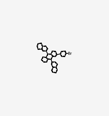 Brc1ccc(-c2ccc3c(-c4ccc5ccccc5c4)c4ccccc4c(-c4ccc5ccccc5c4)c3c2)cc1